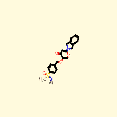 CCN=S(C)(=O)c1ccc(COc2coc(N3Cc4ccccc4C3)cc2=O)cc1